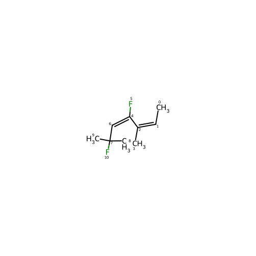 C/C=C(C)\C(F)=C/C(C)(C)F